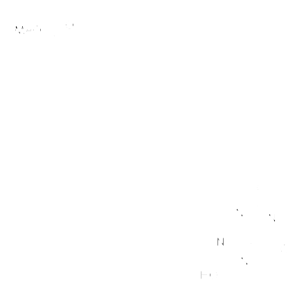 COC(=O)CCCCCCCCCCCCCCCn1c(O)nc2c(Cl)nc(Cl)nc21